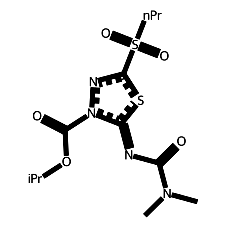 CCCS(=O)(=O)c1nn(C(=O)OC(C)C)c(=NC(=O)N(C)C)s1